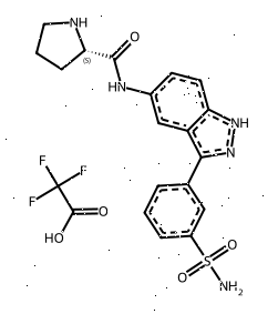 NS(=O)(=O)c1cccc(-c2n[nH]c3ccc(NC(=O)[C@@H]4CCCN4)cc23)c1.O=C(O)C(F)(F)F